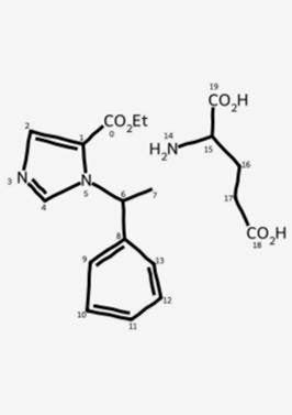 CCOC(=O)c1cncn1C(C)c1ccccc1.NC(CCC(=O)O)C(=O)O